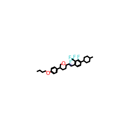 CCCCOc1ccc(C2CCC(/C=C/c3ccc(C4CCC(C)CC4)c(F)c3C(F)(F)F)OC2)cc1